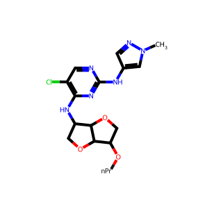 CCCOC1COC2C(Nc3nc(Nc4cnn(C)c4)ncc3Cl)COC12